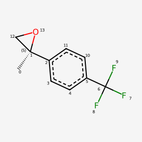 C[C@]1(c2ccc(C(F)(F)F)cc2)CO1